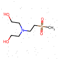 CS(=O)(=O)CCN(CCO)CCO